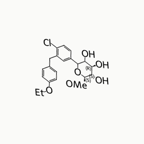 CCOc1ccc(Cc2cc(C3O[C@H](OC)[C@@H](O)[C@H](O)C3O)ccc2Cl)cc1